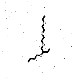 CCCCOC(CC)COCCOCCOCC